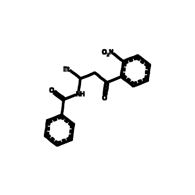 CCC(CC(=O)c1ccccc1[N+](=O)[O-])NC(=O)c1ccccc1